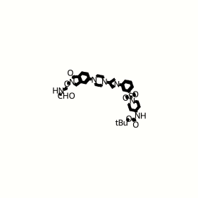 CC(C)(C)OC(=O)NC1CCN(S(=O)(=O)c2cccc(N3CC(N4CCN(c5ccc6c(c5)CN(OCNC=O)C6=O)CC4)C3)c2)CC1